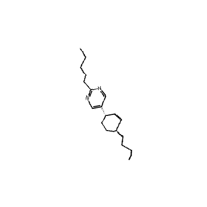 CCCCCc1ncc([C@H]2CC[C@H](CCCC)CC2)cn1